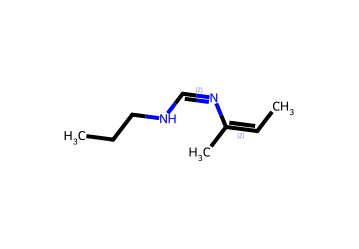 C/C=C(C)\N=C/NCCC